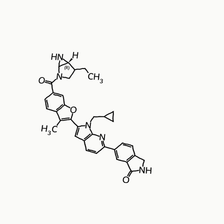 CCC1CN(C(=O)c2ccc3c(C)c(-c4cc5ccc(-c6ccc7c(c6)C(=O)NC7)nc5n4CC4CC4)oc3c2)C2N[C@H]12